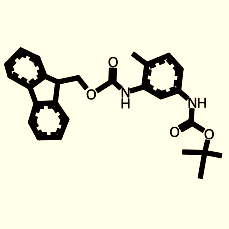 Cc1ccc(NC(=O)OC(C)(C)C)cc1NC(=O)OCC1c2ccccc2-c2ccccc21